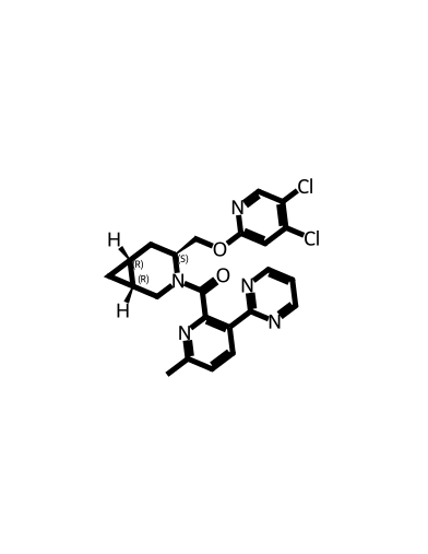 Cc1ccc(-c2ncccn2)c(C(=O)N2C[C@@H]3C[C@@H]3C[C@H]2COc2cc(Cl)c(Cl)cn2)n1